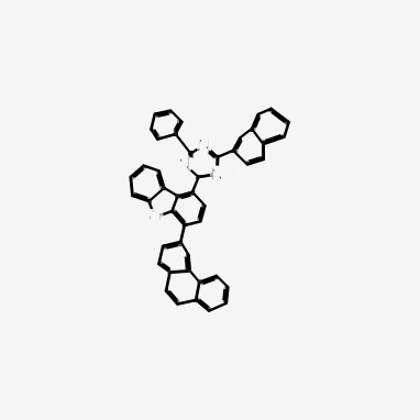 c1ccc(C2=NC(c3ccc(-c4ccc5ccc6ccccc6c5c4)c4oc5ccccc5c34)NC(c3ccc4ccccc4c3)=N2)cc1